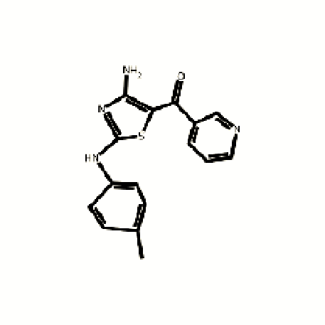 Cc1ccc(Nc2nc(N)c(C(=O)c3cccnc3)s2)cc1